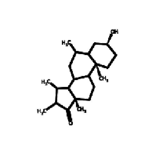 CC1CC2C(CC[C@]3(C)C(=O)C(C)C(C)C23)[C@@]2(C)CC[C@H](O)CC12